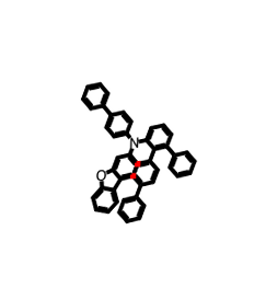 c1ccc(-c2ccc(-c3c(-c4ccccc4)cccc3N(c3ccc(-c4ccccc4)cc3)c3ccc4c(c3)oc3ccccc34)cc2)cc1